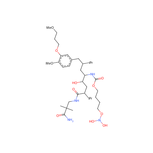 COCCCOc1cc(CC(CC(NC(=O)OCCCCON(O)O)C(O)CC(C(=O)NCC(C)(C)C(N)=O)C(C)C)C(C)C)ccc1OC